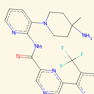 CC1(N)CCN(c2cccnc2NC(=O)c2cncc(-c3ncccc3C(F)(F)F)n2)CC1